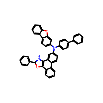 c1ccc(-c2ccc(N(c3ccc4c(c3)oc3ccccc34)c3ccc4c(c3)c3c(c5ccccc54)OC(c4ccccc4)N3)cc2)cc1